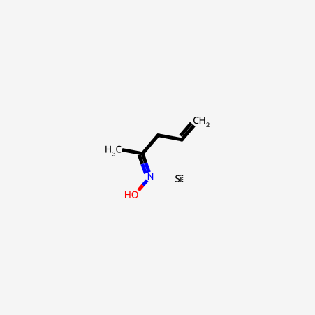 C=CCC(C)=NO.[Si]